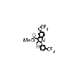 COC(=O)c1c(CBr)c(-c2cccc(C(F)(F)F)c2)nc2ccc(OC(F)(F)F)cc12